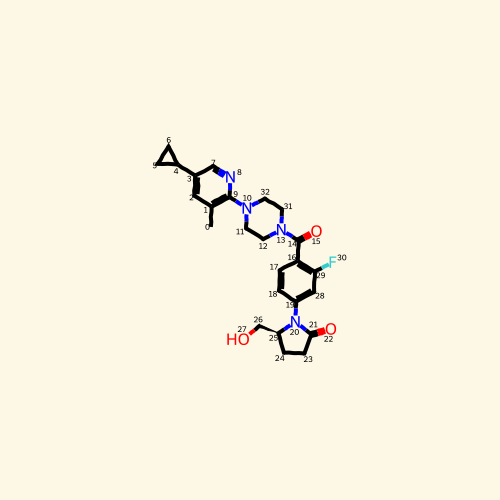 Cc1cc(C2CC2)cnc1N1CCN(C(=O)c2ccc(N3C(=O)CC[C@H]3CO)cc2F)CC1